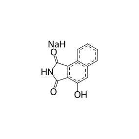 O=C1NC(=O)c2c1c(O)cc1ccccc21.[NaH]